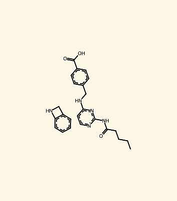 CCCCC(=O)Nc1nccc(NCc2ccc(C(=O)O)cc2)n1.c1ccc2c(c1)CN2